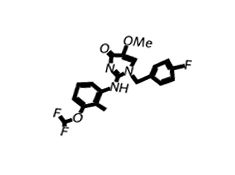 COc1cn(Cc2ccc(F)cc2)c(Nc2cccc(OC(F)F)c2C)nc1=O